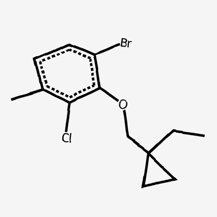 CCC1(COc2c(Br)ccc(C)c2Cl)CC1